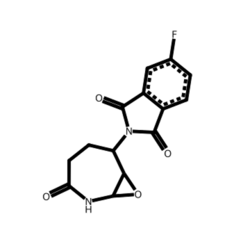 O=C1CCC(N2C(=O)c3ccc(F)cc3C2=O)C2OC2N1